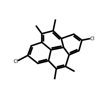 Cc1c(C)c2cc(Cl)cc3c(C)c(C)c4cc(Cl)cc1c4c23